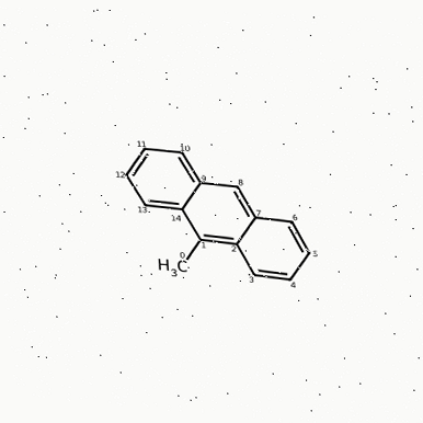 Cc1c2[c]cccc2cc2ccccc12